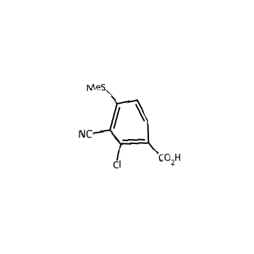 CSc1ccc(C(=O)O)c(Cl)c1C#N